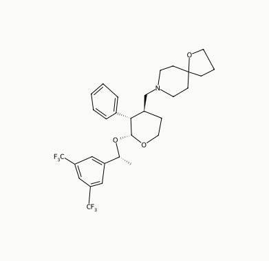 C[C@@H](O[C@H]1OCC[C@H](CN2CCC3(CCCO3)CC2)[C@H]1c1ccccc1)c1cc(C(F)(F)F)cc(C(F)(F)F)c1